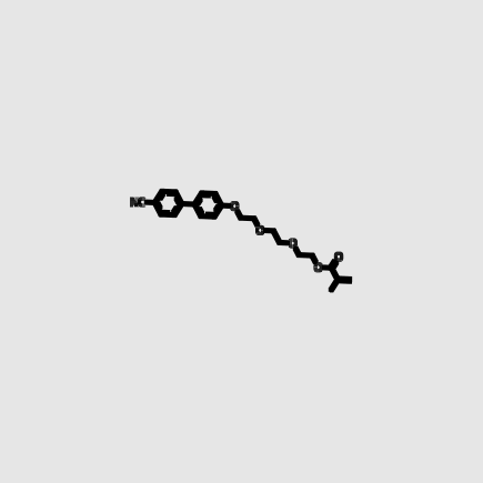 C=C(C)C(=O)OCCOCCOCCOc1ccc(-c2ccc(C#N)cc2)cc1